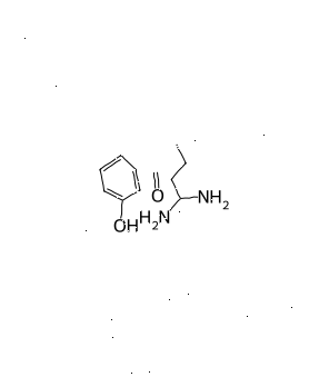 C=O.CCCC(N)N.Oc1ccccc1